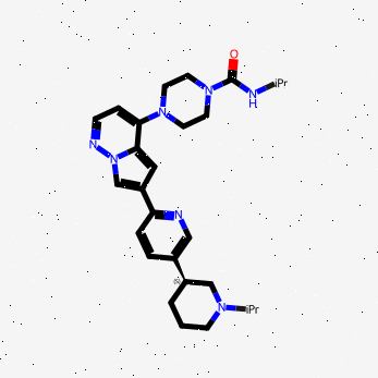 CC(C)NC(=O)N1CCN(c2ccnn3cc(-c4ccc([C@@H]5CCCN(C(C)C)C5)cn4)cc23)CC1